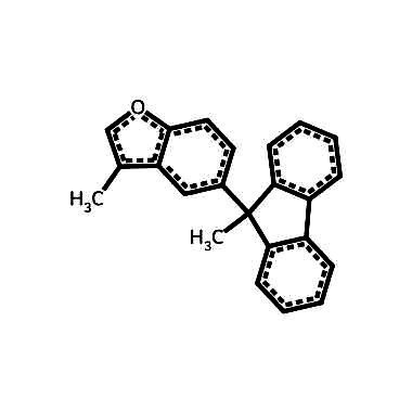 Cc1coc2ccc(C3(C)c4ccccc4-c4ccccc43)cc12